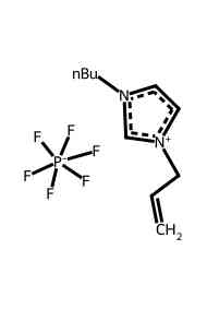 C=CC[n+]1ccn(CCCC)c1.F[P-](F)(F)(F)(F)F